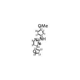 COc1ccc(Nc2nccc(-c3ccco3)n2)cc1